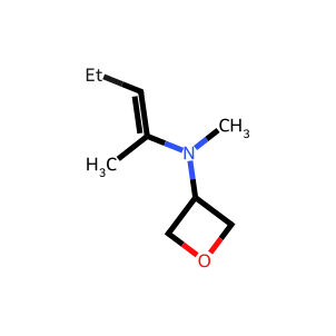 CC/C=C(\C)N(C)C1COC1